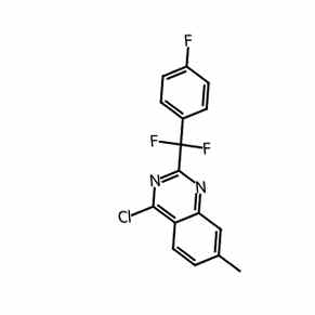 Cc1ccc2c(Cl)nc(C(F)(F)c3ccc(F)cc3)nc2c1